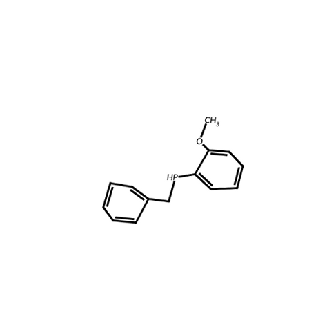 COc1ccccc1PCc1ccccc1